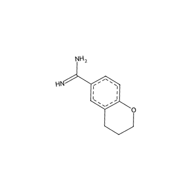 N=C(N)c1ccc2c(c1)CCCO2